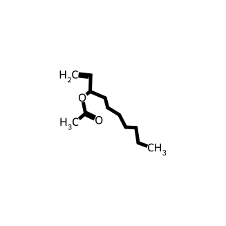 C=CC(CCCCCCC)OC(C)=O